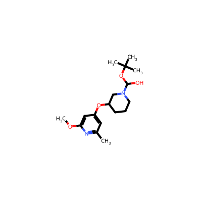 COc1cc(OC2CCCN(C(O)OC(C)(C)C)C2)cc(C)n1